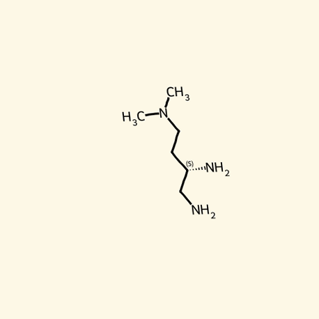 CN(C)CC[C@H](N)CN